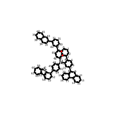 c1ccc(-c2ccc(-c3cc4ccccc4c4ccccc34)cc2N(c2ccc(-c3cccc(-c4ccc5ccccc5c4)c3)cc2)c2ccc(-c3cccc4c3sc3ccccc34)cc2)cc1